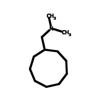 CN(C)CC1CCCCCCCC1